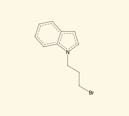 BrCCCn1ccc2ccccc21